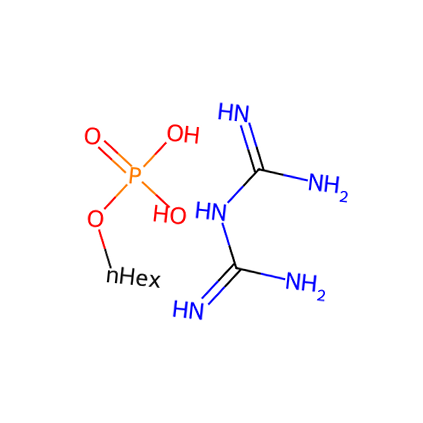 CCCCCCOP(=O)(O)O.N=C(N)NC(=N)N